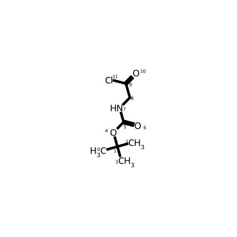 CC(C)(C)OC(=O)NCC(=O)Cl